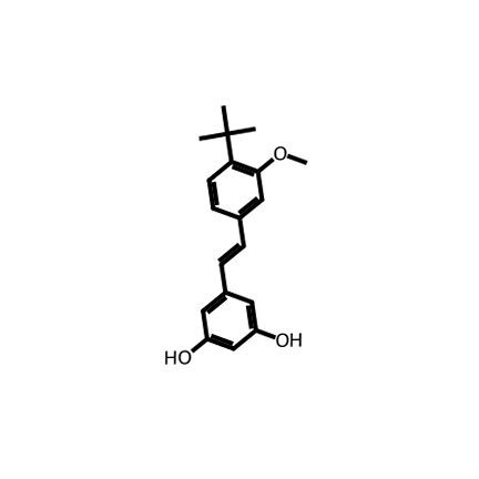 COc1cc(/C=C/c2cc(O)cc(O)c2)ccc1C(C)(C)C